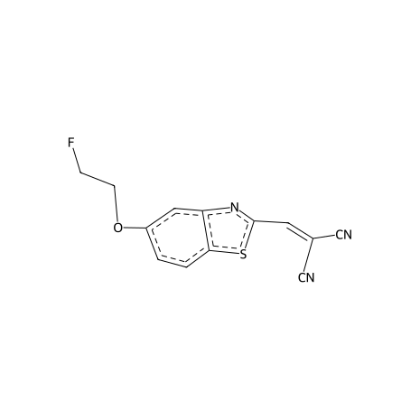 N#CC(C#N)=Cc1nc2cc(OCCF)ccc2s1